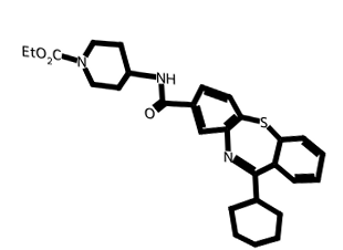 CCOC(=O)N1CCC(NC(=O)c2ccc3c(c2)N=C(C2CCCCC2)C2C=CC=CC2S3)CC1